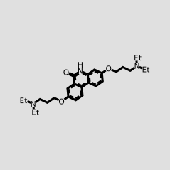 CCN(CC)CCCOc1ccc2c(c1)[nH]c(=O)c1cc(OCCCN(CC)CC)ccc12